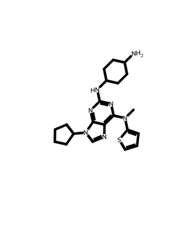 CN(c1cccs1)c1nc(NC2CCC(N)CC2)nc2c1ncn2C1CCCC1